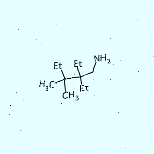 CCC(C)(C)C(CC)(CC)CN